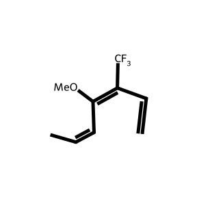 C=C/C(=C(\C=C/C)OC)C(F)(F)F